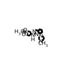 CN1CCCN(c2cccc3cnc(NC4CCN(S(C)(=O)=O)CC4)nc23)CC1